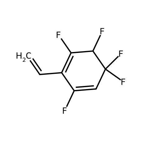 C=CC1=C(F)C(F)C(F)(F)C=C1F